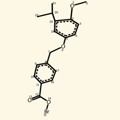 COc1ccc(OCc2ccc(C(=O)OBr)cc2)cc1C(C)C